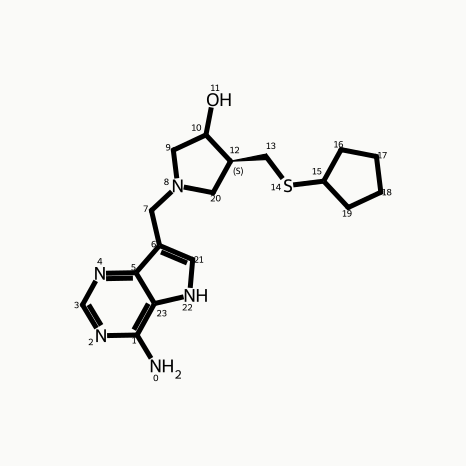 Nc1ncnc2c(CN3CC(O)[C@@H](CSC4CCCC4)C3)c[nH]c12